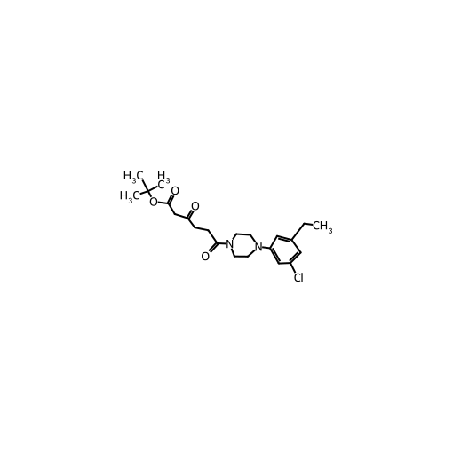 CCc1cc(Cl)cc(N2CCN(C(=O)CCC(=O)CC(=O)OC(C)(C)C)CC2)c1